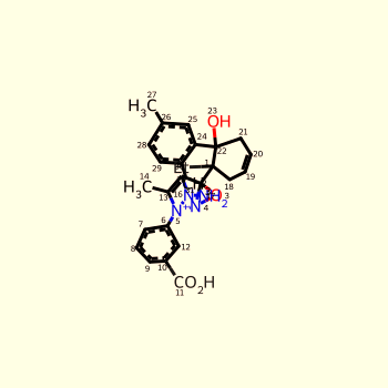 CCC1(C23ON2[N+]2(c4cccc(C(=O)O)c4)C(C)=C3N2N)CC=CCC1(O)c1cc(C)ccc1C